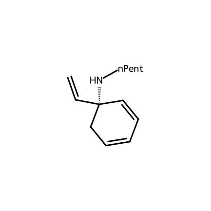 C=C[C@@]1(NCCCCC)C=CC=CC1